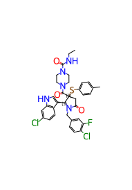 CCNC(=O)N1CCN(C(=O)[C@]2(Sc3ccc(C)cc3)CC(=O)N(Cc3ccc(Cl)c(F)c3)[C@H]2c2c[nH]c3cc(Cl)ccc23)CC1